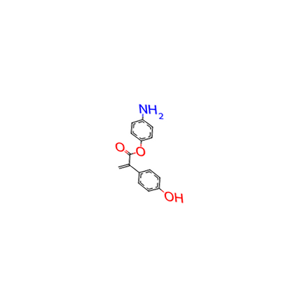 C=C(C(=O)Oc1ccc(N)cc1)c1ccc(O)cc1